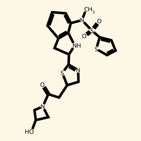 CN(c1cccc2c1NC(C1=NCC(CC(=O)N3CC(O)C3)S1)C2)S(=O)(=O)c1cccs1